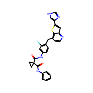 O=C(Nc1ccccc1)C1(C(=O)Nc2ccc(Cc3ccnc4cc(-c5c[nH]cn5)sc34)c(F)c2)CC1